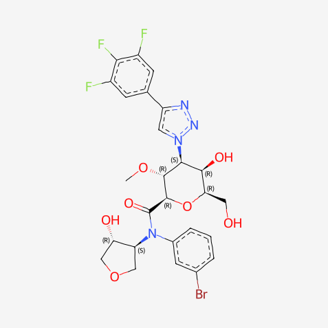 CO[C@@H]1[C@@H](n2cc(-c3cc(F)c(F)c(F)c3)nn2)[C@@H](O)[C@@H](CO)O[C@H]1C(=O)N(c1cccc(Br)c1)[C@H]1COC[C@@H]1O